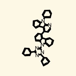 c1ccc(-c2nc(-c3ccccc3)nc(-n3c4ccccc4c4c(-c5ccnc6c5c5ccccc5n6-c5ccccc5)cccc43)n2)cc1